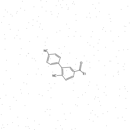 CCC(=O)c1ccc(C#N)c(-c2ccc(C#N)cc2)c1